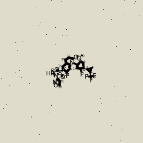 COc1cc([C@@H]2C[C@H]2C(F)(F)F)c(F)cc1-n1c(=O)ccc2cc(S(=O)(=O)N(PC)c3ccon3)c(F)cc21